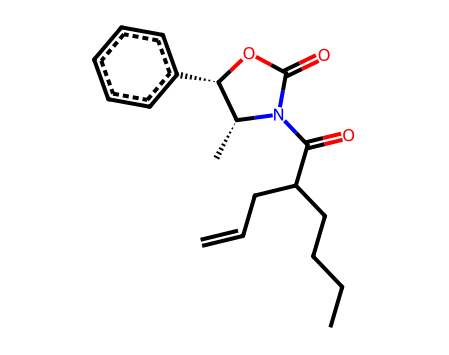 C=CCC(CCCC)C(=O)N1C(=O)O[C@@H](c2ccccc2)[C@H]1C